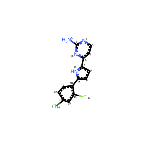 Nc1nccc(-c2ccc(-c3ccc(Cl)cc3F)[nH]2)n1